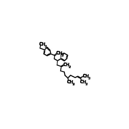 C=C(CCCC(C)CCC=C(C)C)CC(CC(=C)c1ccc(CC)cc1)c1ccccc1